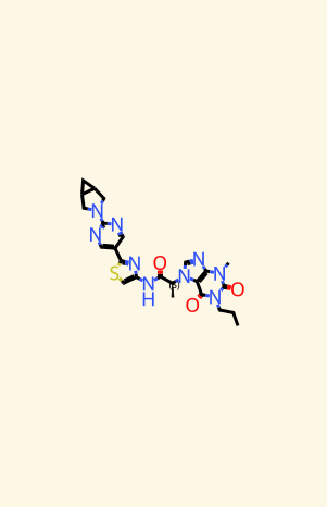 CCCn1c(=O)c2c(ncn2[C@@H](C)C(=O)Nc2csc(-c3cnc(N4CC5CC5C4)nc3)n2)n(C)c1=O